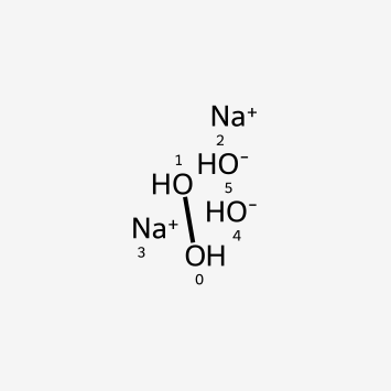 OO.[Na+].[Na+].[OH-].[OH-]